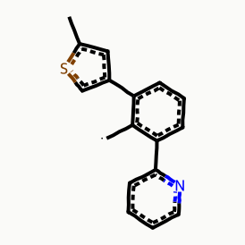 [CH2]c1c(-c2csc(C)c2)cccc1-c1ccccn1